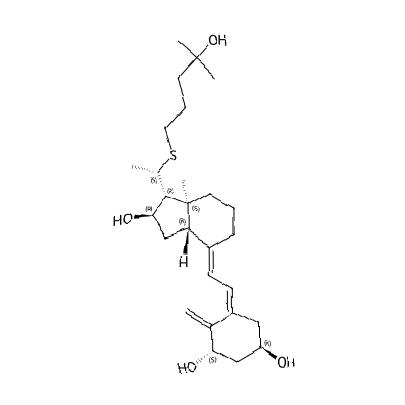 C=C1C(=CC=C2CCC[C@]3(C)[C@@H]([C@H](C)SCCCC(C)(C)O)[C@H](O)C[C@@H]23)C[C@@H](O)C[C@@H]1O